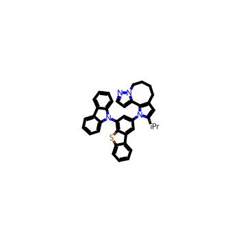 CC(C)c1cc2c(n1-c1cc(-n3c4ccccc4c4ccccc43)c3sc4ccccc4c3c1)-c1ccnn1CCCC2